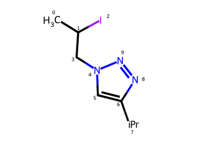 CC(I)Cn1cc(C(C)C)nn1